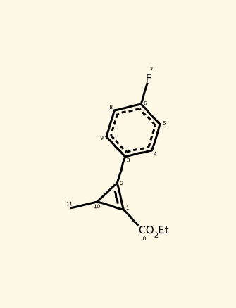 CCOC(=O)C1=C(c2ccc(F)cc2)C1C